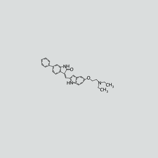 CCN(CC)CCOc1ccc2[nH]c(C=C3C(=O)Nc4cc(-c5ccccc5)ccc43)cc2c1